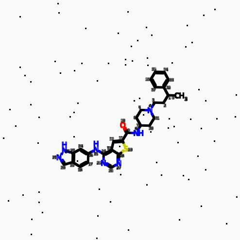 CC(CCN1CCC(NC(=O)c2cc3c(Nc4ccc5cn[nH]c5c4)ncnc3s2)CC1)c1ccccc1